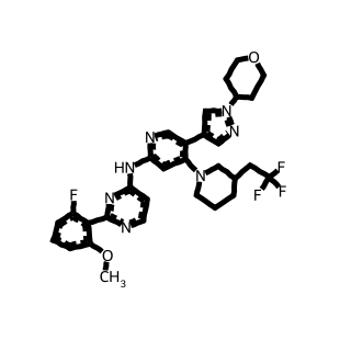 COc1cccc(F)c1-c1nccc(Nc2cc(N3CCCC(CC(F)(F)F)C3)c(-c3cnn(C4CCOCC4)c3)cn2)n1